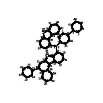 c1ccc(-c2ccc(N(c3cccc4c3oc3cc(-c5ccccc5)c5ccccc5c34)c3cccc4sc5ccccc5c34)cc2)cc1